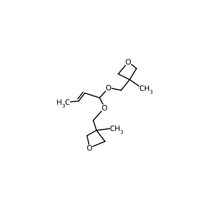 C/C=C/C(OCC1(C)COC1)OCC1(C)COC1